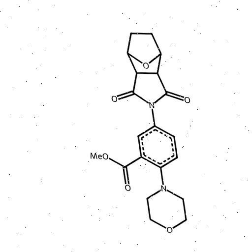 COC(=O)c1cc(N2C(=O)C3C4CCC(O4)C3C2=O)ccc1N1CCOCC1